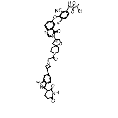 CCN(C)S(=O)(=O)Nc1ccc(F)c(Oc2ccc3ncn([C@H]4COC5(CCN(C(=O)CN6CC(c7ccc8c(C9CCC(=O)NC9=O)nn(C)c8c7)C6)CC5)C4)c(=O)c3c2)c1C#N